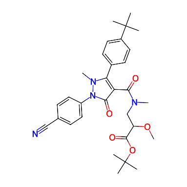 COC(CN(C)C(=O)c1c(-c2ccc(C(C)(C)C)cc2)n(C)n(-c2ccc(C#N)cc2)c1=O)C(=O)OC(C)(C)C